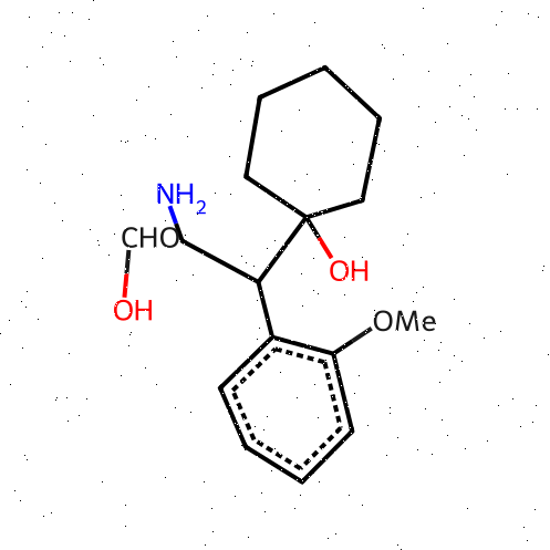 COc1ccccc1C(CN)C1(O)CCCCC1.O=CO